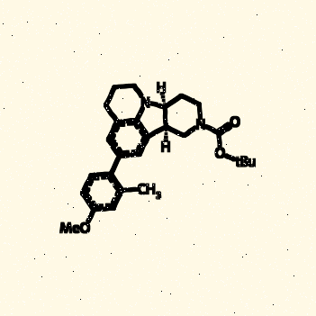 COc1ccc(-c2cc3c4c(c2)[C@@H]2CN(C(=O)OC(C)(C)C)CC[C@@H]2N4CCC3)c(C)c1